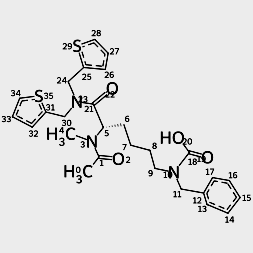 CC(=O)N(C)[C@@H](CCCCN(Cc1ccccc1)C(=O)O)C(=O)N(Cc1cccs1)Cc1cccs1